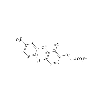 CCOC(=O)COc1ccc(Sc2ccc([N+](=O)[O-])cc2)c(Cl)c1Cl